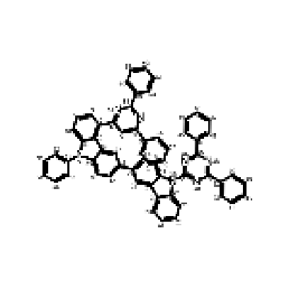 c1ccc(-c2cc(-c3cccc4c3c3cc(-c5ccc6c(c5)c5ccccc5n6-c5nc(-c6ccccc6)nc(-c6ccccc6)n5)ccc3n4-c3ccccc3)nc(-c3ccccc3)n2)cc1